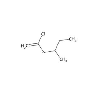 C=C(Cl)[CH]C(C)CC